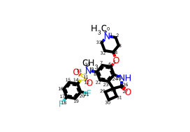 CN1CCC(Oc2cc(N(C)S(=O)(=O)c3ccc(F)cc3F)cc3c2NC(=O)C32CCC2)CC1